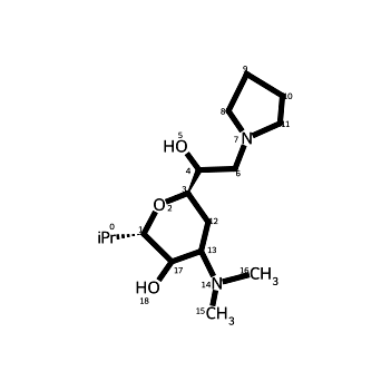 CC(C)[C@@H]1O[C@@H](C(O)CN2CCCC2)CC(N(C)C)C1O